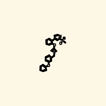 CS(=O)(=O)c1cc(-c2ccccc2OC2CN(Cc3cccc(Oc4ccccc4)c3)C2)ccn1